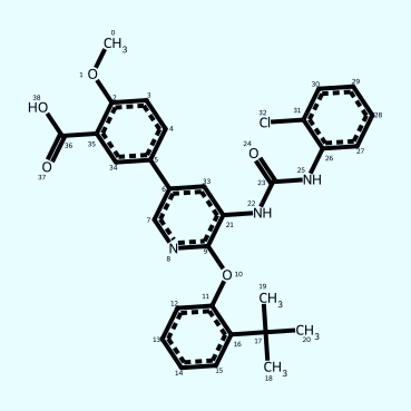 COc1ccc(-c2cnc(Oc3ccccc3C(C)(C)C)c(NC(=O)Nc3ccccc3Cl)c2)cc1C(=O)O